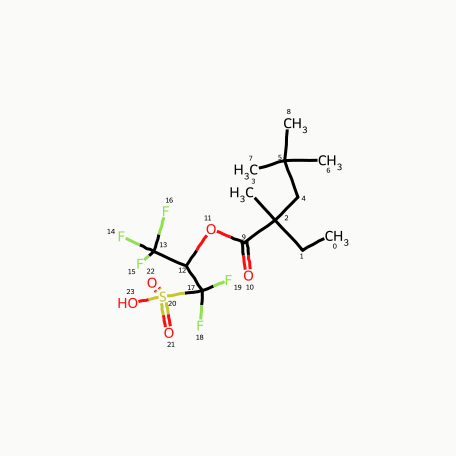 CCC(C)(CC(C)(C)C)C(=O)OC(C(F)(F)F)C(F)(F)S(=O)(=O)O